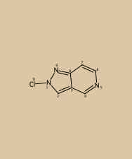 Cln1cc2cnccc2n1